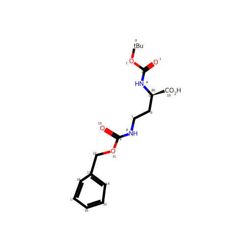 CC(C)(C)OC(=O)N[C@H](CCNC(=O)OCc1ccccc1)C(=O)O